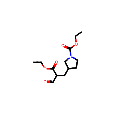 CCOC(=O)C(C=O)CC1CCN(C(=O)OCC)C1